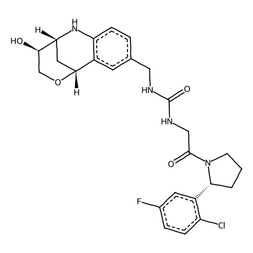 O=C(NCC(=O)N1CCC[C@@H]1c1cc(F)ccc1Cl)NCc1ccc2c(c1)[C@H]1C[C@@H](N2)[C@H](O)CO1